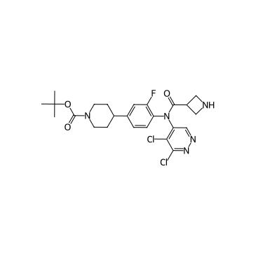 CC(C)(C)OC(=O)N1CCC(c2ccc(N(C(=O)C3CNC3)c3cnnc(Cl)c3Cl)c(F)c2)CC1